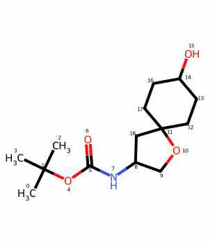 CC(C)(C)OC(=O)NC1COC2(CCC(O)CC2)C1